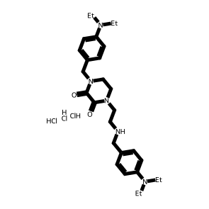 CCN(CC)c1ccc(CNCCN2CCN(Cc3ccc(N(CC)CC)cc3)C(=O)C2=O)cc1.Cl.Cl.Cl